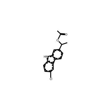 CC(=O)OC(C)c1ccc2c(c1)[nH]c1ccc(Cl)cc12